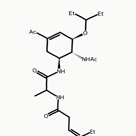 CC/C=C\CC(=O)NC(C)C(=O)N[C@H]1CC(C(C)=O)=C[C@@H](OC(CC)CC)[C@@H]1NC(C)=O